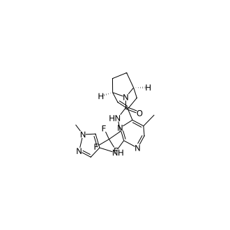 Cc1cnc(Nc2cnn(C)c2)nc1C1=C[C@H]2CC[C@@H](C1)N2C(=O)NCC(F)(F)F